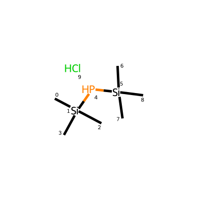 C[Si](C)(C)P[Si](C)(C)C.Cl